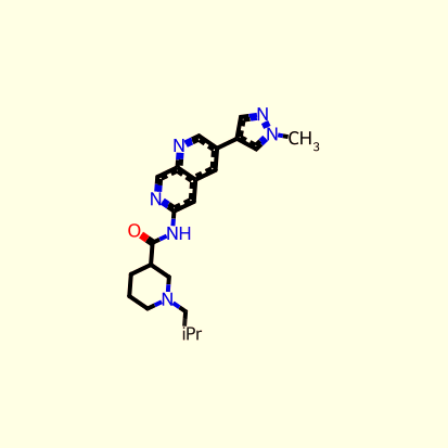 CC(C)CN1CCCC(C(=O)Nc2cc3cc(-c4cnn(C)c4)cnc3cn2)C1